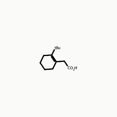 CC(C)(C)C1=C(CC(=O)O)CCCC1